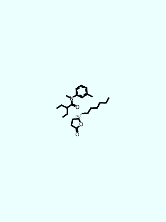 CCC(CC)C(=O)N(C)c1cccc(C)c1.CCCCCCC[C@H]1CCC(=O)O1